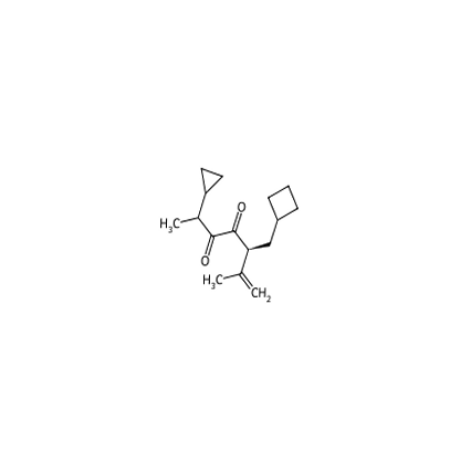 C=C(C)[C@H](CC1CCC1)C(=O)C(=O)C(C)C1CC1